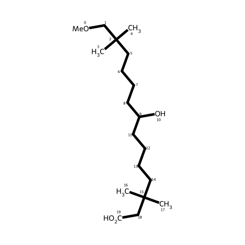 COCC(C)(C)CCCCC(O)CCCCC(C)(C)CC(=O)O